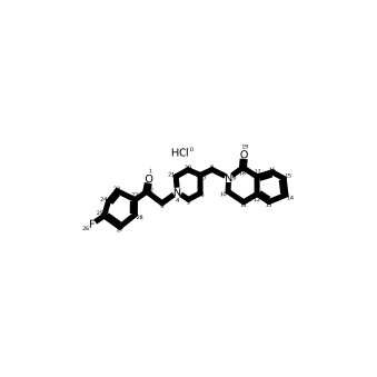 Cl.O=C(CN1CCC(CN2CCc3ccccc3C2=O)CC1)c1ccc(F)cc1